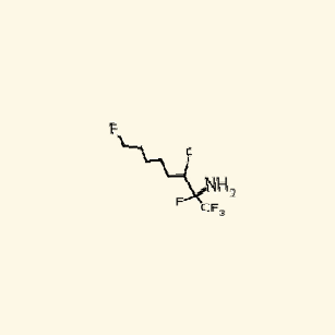 NC(F)(C(F)CCCCCF)C(F)(F)F